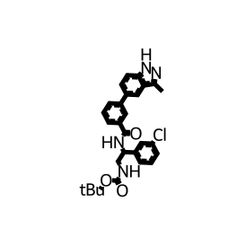 Cc1n[nH]c2ccc(-c3cccc(C(=O)NC(CNC(=O)OC(C)(C)C)c4cccc(Cl)c4)c3)cc12